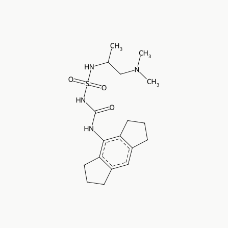 CC(CN(C)C)NS(=O)(=O)NC(=O)Nc1c2c(cc3c1CCC3)CCC2